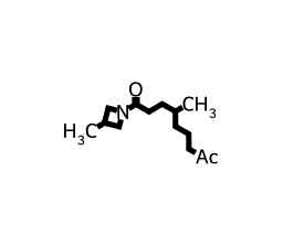 CC(=O)CCCC(C)CCC(=O)N1CC(C)C1